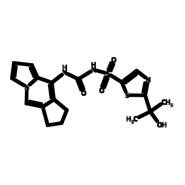 CC(C)(O)c1ncc(S(=O)(=O)NC(=O)Nc2c3c(cn4cccc24)CCC3)s1